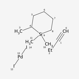 C#CCC.CC1CCCC[Si]1(C)C.[I][Pd][I]